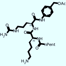 CCCCCC(=O)N[C@@H](CCCCN)C(=O)N[C@@H](CCCNC(N)=O)C(=O)Nc1ccc(COC(C)=O)cc1